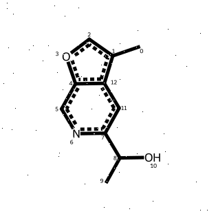 Cc1coc2cnc(C(C)O)cc12